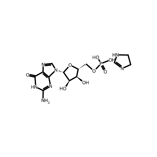 C1=NCCN1.Nc1nc2c(ncn2[C@@H]2O[C@H](COP(=O)(O)O)[C@@H](O)[C@H]2O)c(=O)[nH]1